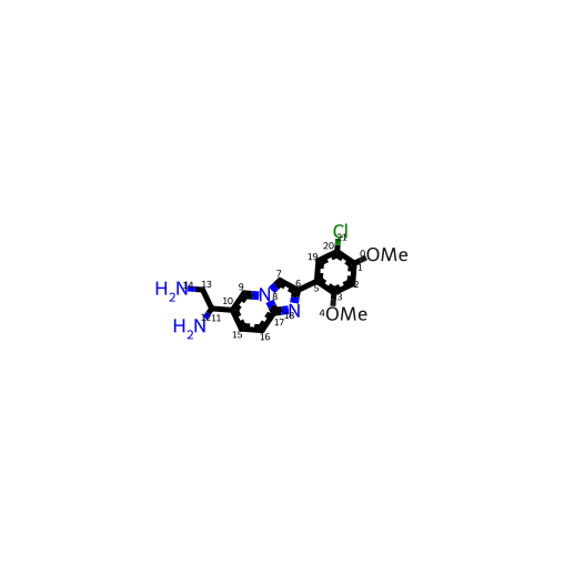 COc1cc(OC)c(-c2cn3cc(C(N)CN)ccc3n2)cc1Cl